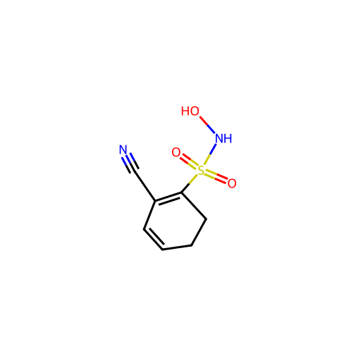 N#CC1=C(S(=O)(=O)NO)CCC=C1